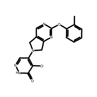 Cc1ccccc1Oc1ncc2c(n1)CN(c1cn[nH]c(=O)c1Cl)C2